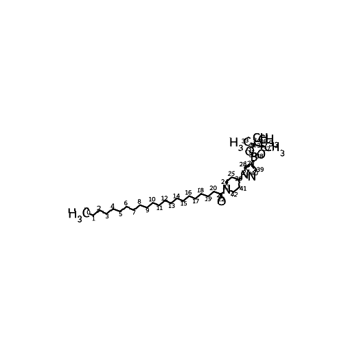 CCCCCCCCCCCCCCCCCCCCCC(=O)N1CCC(n2cc(B3OC(C)(C)C(C)(C)O3)cn2)CC1